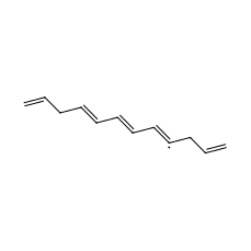 C=CC[C]=CC=CC=CCC=C